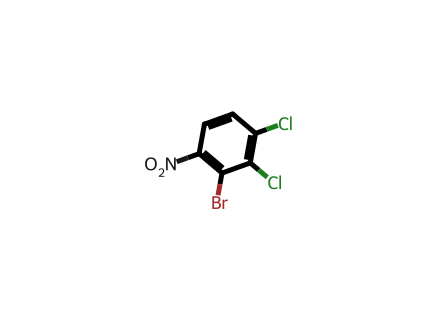 O=[N+]([O-])c1ccc(Cl)c(Cl)c1Br